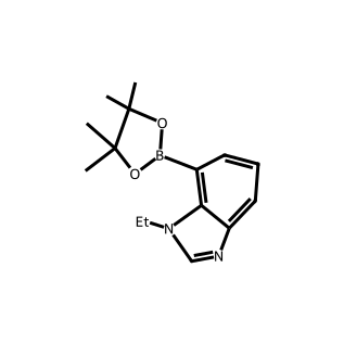 CCn1cnc2cccc(B3OC(C)(C)C(C)(C)O3)c21